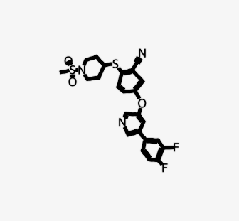 CS(=O)(=O)N1CCC(Sc2ccc(Oc3cncc(-c4ccc(F)c(F)c4)c3)cc2C#N)CC1